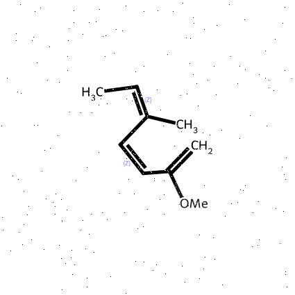 C=C(/C=C\C(C)=C/C)OC